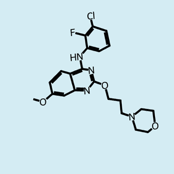 COc1ccc2c(Nc3cccc(Cl)c3F)nc(OCCCN3CCOCC3)nc2c1